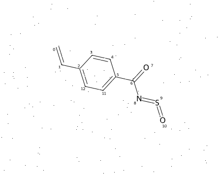 C=Cc1ccc(C(=O)N=S=O)cc1